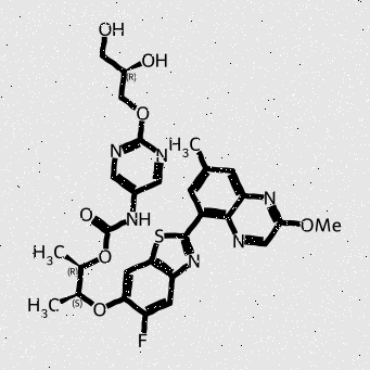 COc1cnc2c(-c3nc4cc(F)c(O[C@@H](C)[C@@H](C)OC(=O)Nc5cnc(OC[C@H](O)CO)nc5)cc4s3)cc(C)cc2n1